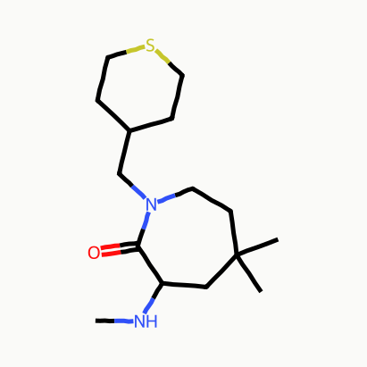 CNC1CC(C)(C)CCN(CC2CCSCC2)C1=O